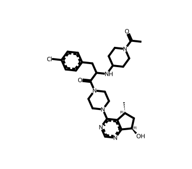 CC(=O)N1CCC(NC(Cc2ccc(Cl)cc2)C(=O)N2CCN(c3ncnc4c3[C@H](C)C[C@H]4O)CC2)CC1